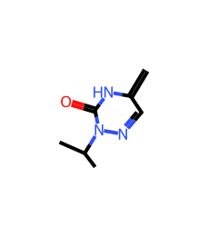 C=C1C=NN(C(C)C)C(=O)N1